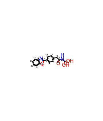 O=C(Cc1ccc(-c2nc3ccccc3o2)cc1)NC(O)O